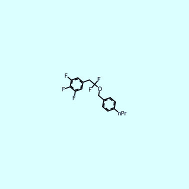 CCCc1ccc(COC(F)(F)Cc2cc(F)c(F)c(F)c2)cc1